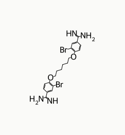 N=C(N)c1ccc(OCCCCCCOc2ccc(C(=N)N)cc2Br)c(Br)c1